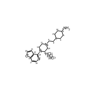 Cl.Cl.Cl.NC1CCC(CCN2CCN(c3nccc4occc34)CC2)CC1